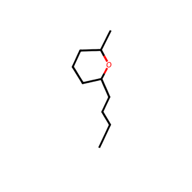 CCCCC1CCCC(C)O1